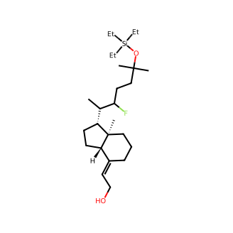 CC[Si](CC)(CC)OC(C)(C)CCC(F)C(C)[C@H]1CC[C@H]2/C(=C/CO)CCC[C@]12C